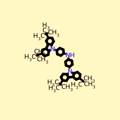 CC(C)(C)c1ccc2c(c1)c1cc(C(C)(C)C)ccc1n2-c1ccc(Nc2ccc(-n3c4ccc(C(C)(C)C)cc4c4cc(C(C)(C)C)ccc43)cc2)cc1